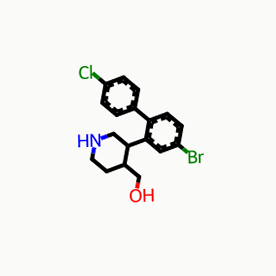 OCC1CCNCC1c1cc(Br)ccc1-c1ccc(Cl)cc1